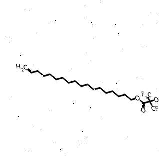 C=CCCCCCCCCCCCCCCCCOC(=O)C(O)(C(F)(F)F)C(F)(F)F